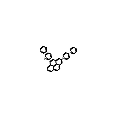 c1cc2ccc3cccc4ccc(c1)c2c34.c1ccncc1.c1ccncc1.c1ccncc1.c1ccncc1